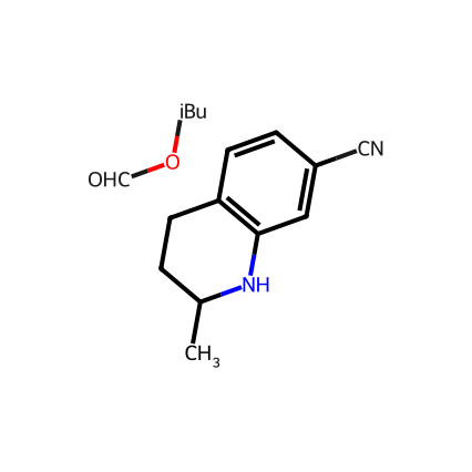 CC1CCc2ccc(C#N)cc2N1.CCC(C)OC=O